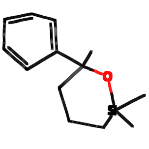 CC1(c2ccccc2)CCC[Si](C)(C)O1